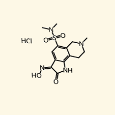 CN1CCc2c(c(S(=O)(=O)N(C)C)cc3c2NC(=O)/C3=N\O)C1.Cl